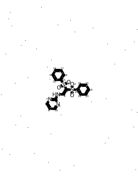 O=S(=O)(C(=CNc1ncccn1)S(=O)(=O)c1ccccc1)c1ccccc1